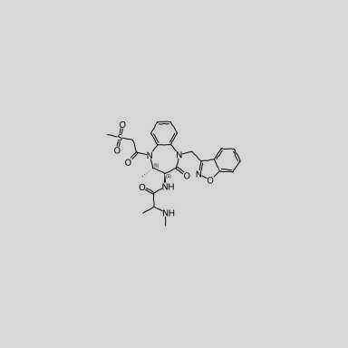 CNC(C)C(=O)N[C@@H]1C(=O)N(Cc2noc3ccccc23)c2ccccc2N(C(=O)CS(C)(=O)=O)[C@H]1C